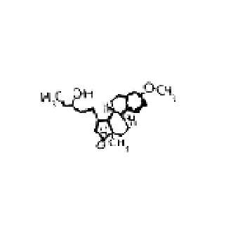 CCC(O)CC[C@@H]1CC(=O)[C@@]2(C)CC[C@@H]3c4ccc(OC)cc4CC[C@H]3[C@H]12